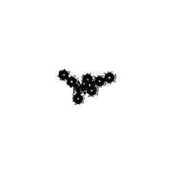 c1ccc(-c2ccc(-c3nc(-c4ccccc4)nc(-c4c5ccccc5c(-c5ccc(-c6ccccc6)cc5)c5ccccc45)n3)cc2)cc1